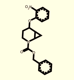 O=C(OCc1ccccc1)N1CCC(Oc2ccccc2[N+](=O)[O-])C2CC21